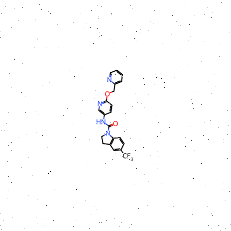 O=C(Nc1ccc(OCc2ccccn2)nc1)N1CCc2cc(C(F)(F)F)ccc21